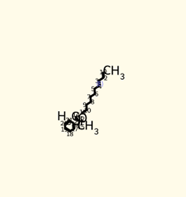 CC=C/C=C/CCCCCCCO[Si](C)(C)c1ccccc1